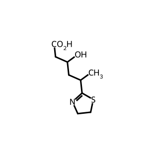 CC(CC(O)CC(=O)O)C1=NCCS1